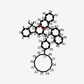 CC1(C)c2ccccc2-c2cc(N(c3ccc(C4CCCCCCCCCCC4)cc3)c3c(-c4cccc5ccccc45)ccc4ccccc34)ccc21